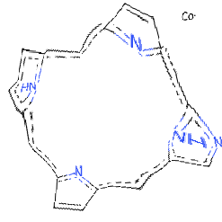 C1=Cc2cc3cnc(cc4nc(cc5ccc(cc1n2)[nH]5)C=C4)[nH]3.[Co]